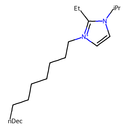 CCCCCCCCCCCCCCCCC[n+]1ccn(C(C)C)c1CC